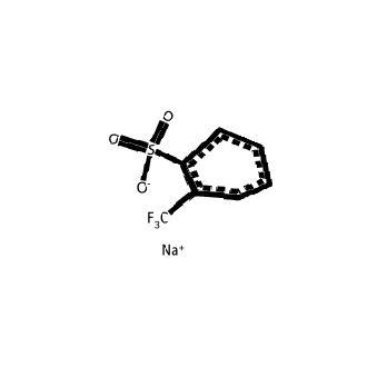 O=S(=O)([O-])c1ccccc1C(F)(F)F.[Na+]